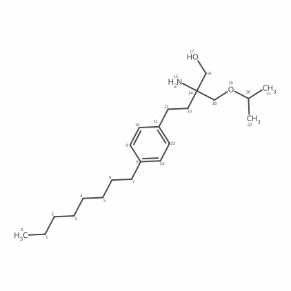 CCCCCCCCc1ccc(CCC(N)(CO)COC(C)C)cc1